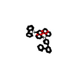 c1ccc(-c2ccccc2-c2ccc(N(c3ccccc3-c3ccccc3)c3ccccc3-c3ccc(-n4c5ccccc5c5ccccc54)cc3)cc2)cc1